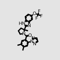 Cc1cc(C(=O)N2CCCC2(C)c2nc3cc(OC(F)(F)F)ccc3[nH]2)c(-n2nccn2)cc1C